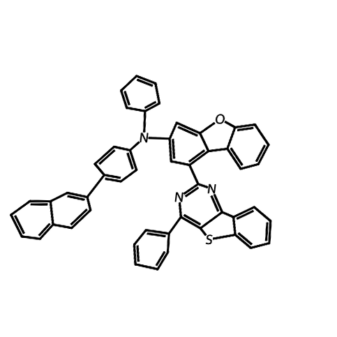 c1ccc(-c2nc(-c3cc(N(c4ccccc4)c4ccc(-c5ccc6ccccc6c5)cc4)cc4oc5ccccc5c34)nc3c2sc2ccccc23)cc1